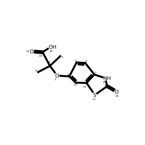 CC(C)(Oc1ccc2[nH]c(=O)sc2c1)C(=O)O